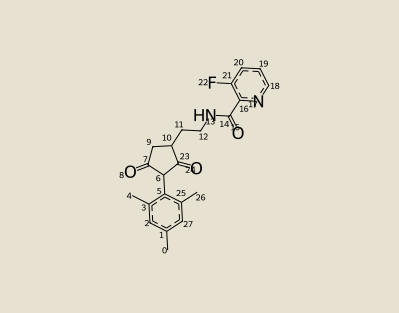 Cc1cc(C)c(C2C(=O)CC(CCNC(=O)c3ncccc3F)C2=O)c(C)c1